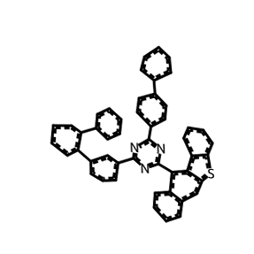 c1ccc(-c2ccc(-c3nc(-c4cccc(-c5ccccc5-c5ccccc5)c4)nc(-c4c5ccccc5cc5sc6ccccc6c45)n3)cc2)cc1